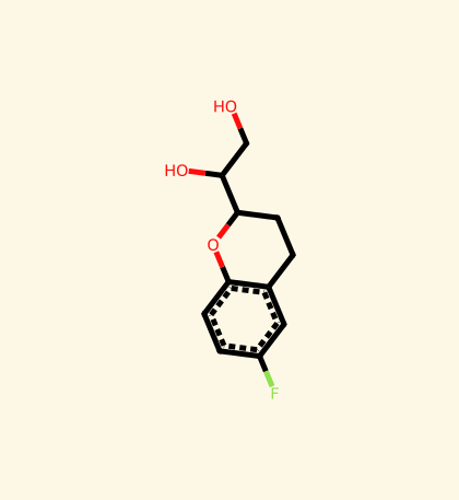 OCC(O)C1CCc2cc(F)ccc2O1